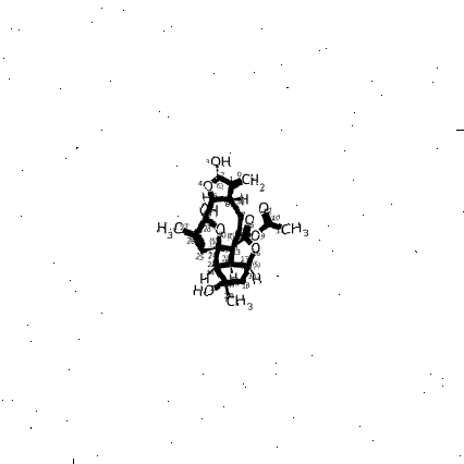 C=C1[C@@H](O)O[C@H]2[C@H]1C[C@@H](OC(C)=O)[C@]13C(=O)O[C@H]4C[C@](C)(O)[C@H]([C@H]41)[C@@]31C=C(C)[C@]2(O)O1